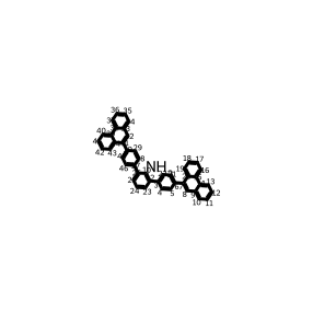 Nc1c(-c2ccc(-c3cc4ccccc4c4ccccc34)cc2)cccc1-c1ccc(-c2cc3ccccc3c3ccccc23)cc1